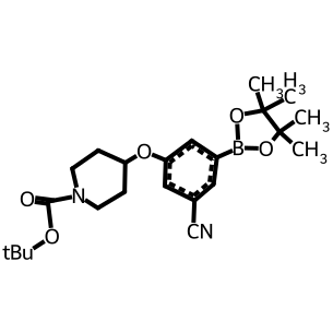 CC(C)(C)OC(=O)N1CCC(Oc2cc(C#N)cc(B3OC(C)(C)C(C)(C)O3)c2)CC1